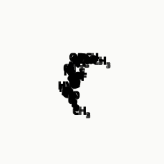 CCCCOC(=O)N1CC[C@H](F)[C@H](Nc2cccc3c2cc(-c2noc(CNC(=O)c4ccn(C(C)(C)COC)c4)n2)n3CC(F)(F)F)C1